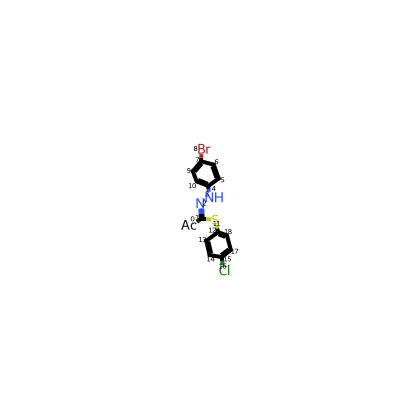 CC(=O)C(=NNc1ccc(Br)cc1)Sc1ccc(Cl)cc1